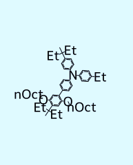 CCCCCCCCOc1cc(C(C)(CC)CC)c(OCCCCCCCC)cc1-c1ccc(N(c2ccc(CC)cc2)c2ccc(C(C)(CC)CC)cc2)cc1